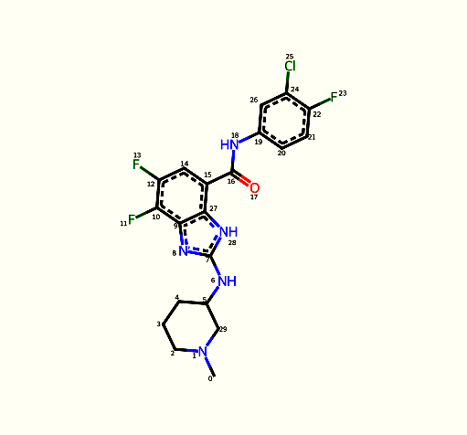 CN1CCCC(Nc2nc3c(F)c(F)cc(C(=O)Nc4ccc(F)c(Cl)c4)c3[nH]2)C1